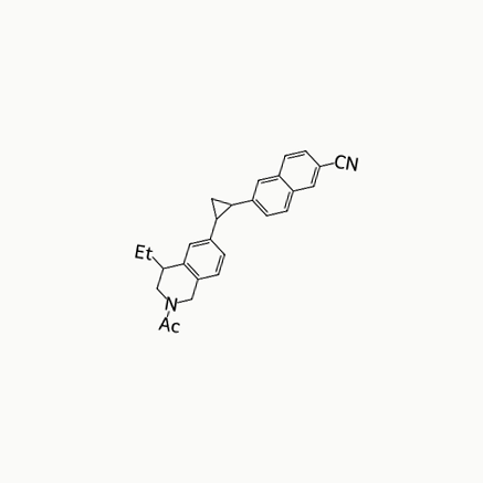 CCC1CN(C(C)=O)Cc2ccc(C3CC3c3ccc4cc(C#N)ccc4c3)cc21